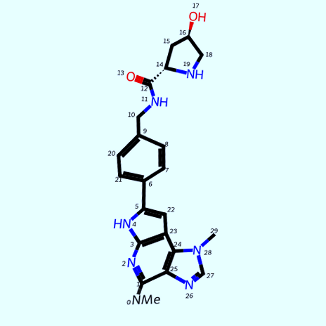 CNc1nc2[nH]c(-c3ccc(CNC(=O)[C@@H]4C[C@@H](O)CN4)cc3)cc2c2c1ncn2C